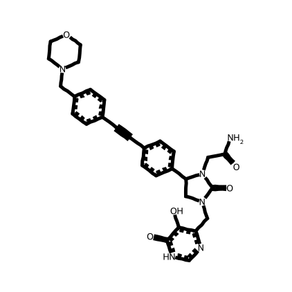 NC(=O)CN1C(=O)N(Cc2nc[nH]c(=O)c2O)CC1c1ccc(C#Cc2ccc(CN3CCOCC3)cc2)cc1